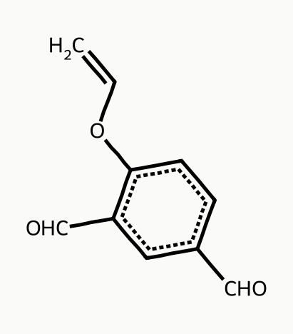 C=COc1ccc(C=O)cc1C=O